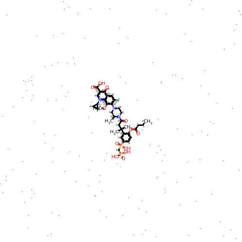 CCCC(=O)Oc1ccc(P(=O)(O)CP(=O)(O)O)cc1C(C)(C)CC(=O)N1CCN(c2c(F)cc3c(=O)c(C(=O)O)cn(C4CC4)c3c2OC)CC1C